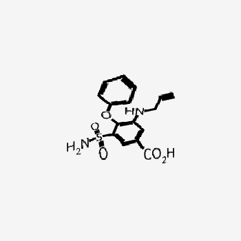 C=CCNc1cc(C(=O)O)cc(S(N)(=O)=O)c1Oc1ccccc1